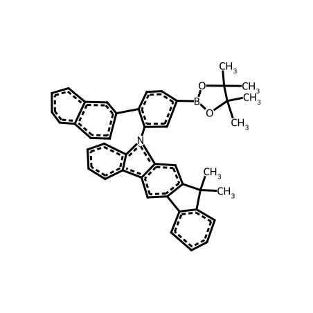 CC1(C)c2ccccc2-c2cc3c4ccccc4n(-c4cc(B5OC(C)(C)C(C)(C)O5)ccc4-c4ccc5ccccc5c4)c3cc21